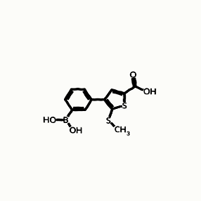 CSc1sc(C(=O)O)cc1-c1cccc(B(O)O)c1